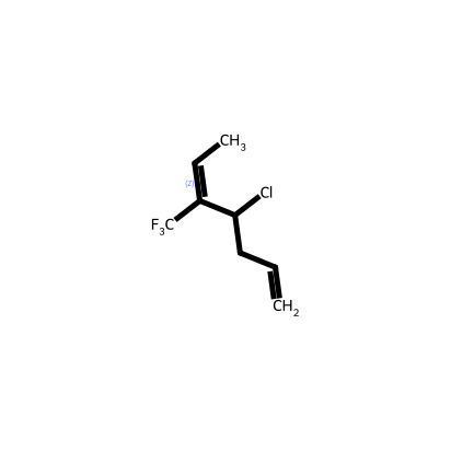 C=CCC(Cl)/C(=C\C)C(F)(F)F